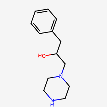 OC(Cc1ccccc1)CN1CCNCC1